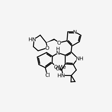 COc1c(Cl)cccc1Nc1c(-c2ccncc2OC[C@@H]2CNCCO2)[nH]c2c1C(=O)NC1(CC1)C2